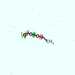 C/C=C/CCC1COC(C2CCC(C(F)(F)C(F)(F)C3CCC(C(F)(F)Oc4cc(F)c(F)c(F)c4)CC3)CC2)OC1